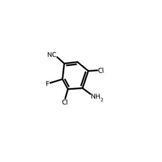 N#Cc1cc(Cl)c(N)c(Cl)c1F